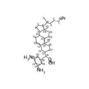 CC(C)CCCC(C)C1CCC2C3CC=C4CC(C(OO)c5cc(N)cc(N)c5)CCC4(C)C3CCC12C